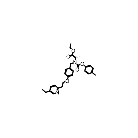 CCOC(=O)[C@H](C)N(Cc1ccc(OCCc2ccc(CC)cn2)cc1)C(=O)Oc1ccc(C)cc1